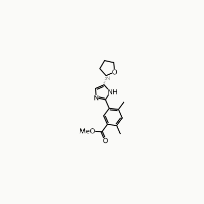 COC(=O)c1cc(-c2ncc([C@@H]3CCCO3)[nH]2)c(C)cc1C